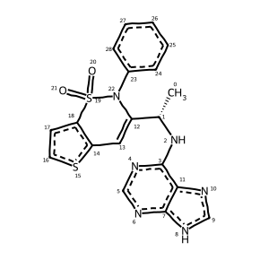 C[C@H](Nc1ncnc2[nH]cnc12)C1=Cc2sccc2S(=O)(=O)N1c1ccccc1